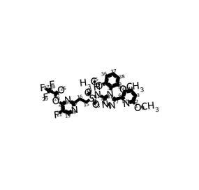 COc1cccc(-c2nnc(NS(=O)(=O)CCc3ncc(F)c(OC(=O)C(F)(F)F)n3)n2-c2c(OC)cccc2OC)n1